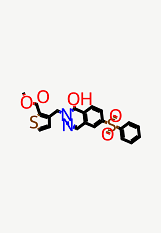 COC(=O)c1sccc1CN1N=Cc2cc(S(=O)(=O)c3ccccc3)ccc2C1O